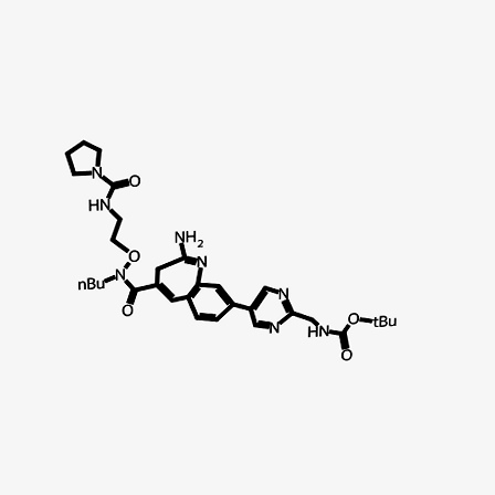 CCCCN(OCCNC(=O)N1CCCC1)C(=O)C1=Cc2ccc(-c3cnc(CNC(=O)OC(C)(C)C)nc3)cc2N=C(N)C1